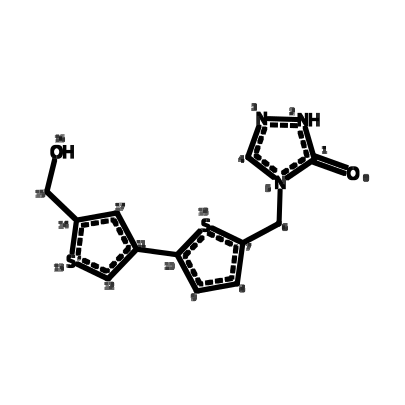 O=c1[nH]ncn1Cc1ccc(-c2csc(CO)c2)s1